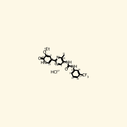 CCOc1cc(-c2ncc(NC(=O)Nc3cccc(C(F)(F)F)c3)c(C)n2)c[nH]c1=O.Cl